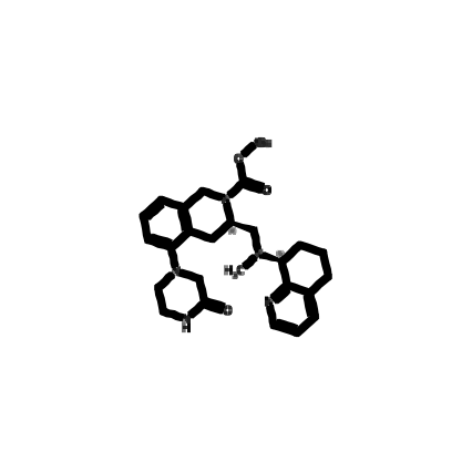 CN(C[C@H]1Cc2c(cccc2N2CCNC(=O)C2)CN1C(=O)OC(C)(C)C)[C@H]1CCCc2cccnc21